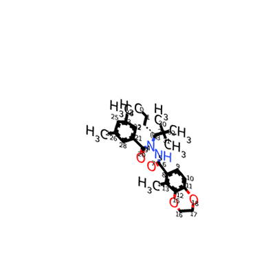 CCC[C@@H](N(NC(=O)c1ccc2c(c1C)OCCO2)C(=O)c1cc(C)cc(C)c1)C(C)(C)C